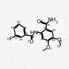 COc1cc(NC(=O)c2cccc(F)c2)c(C(N)=O)cc1OC